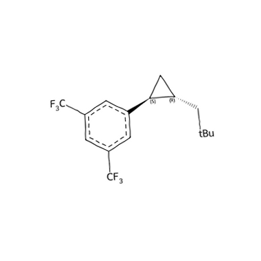 CC(C)(C)C[C@H]1C[C@@H]1c1cc(C(F)(F)F)cc(C(F)(F)F)c1